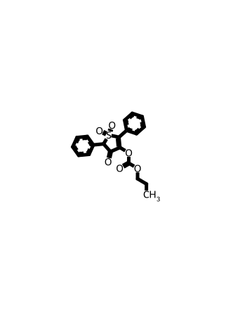 CCCOC(=O)OC1=C(c2ccccc2)S(=O)(=O)C(c2ccccc2)C1=O